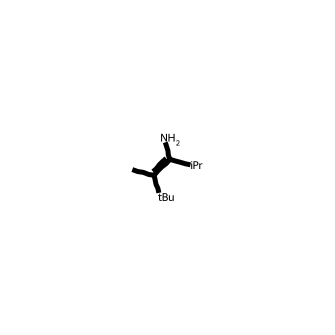 C/C(=C(\N)C(C)C)C(C)(C)C